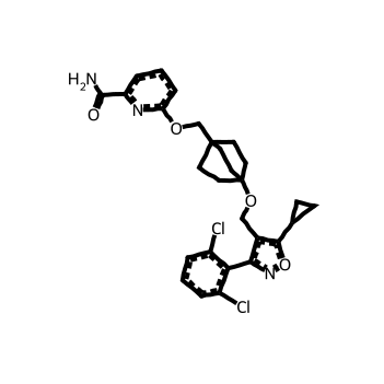 NC(=O)c1cccc(OCC23CCC(OCc4c(-c5c(Cl)cccc5Cl)noc4C4CC4)(CC2)CC3)n1